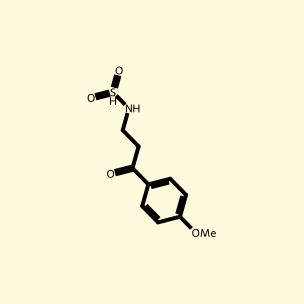 COc1ccc(C(=O)CCN[SH](=O)=O)cc1